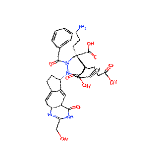 C#CCN([C@H]1CCC2=CC3N=C(CO)NC(=O)C3C=C21)N(C(=O)c1ccccc1)[C@@](CCCN)(C(=O)O)C(CCC(=O)O)C(=O)O